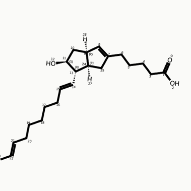 O=C(O)CCCCC1=C[C@@H]2C[C@H](O)[C@@H](C=CCCCCCC=CO)[C@@H]2C1